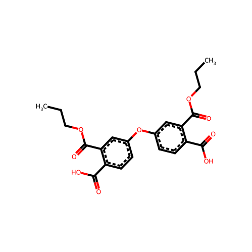 CCCOC(=O)c1cc(Oc2ccc(C(=O)O)c(C(=O)OCCC)c2)ccc1C(=O)O